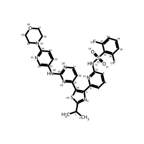 CC(C)c1nc(-c2cccc(NS(=O)(=O)c3c(F)cccc3F)n2)c(-c2ccnc(Nc3ccc(N4CCOCC4)nc3)n2)s1